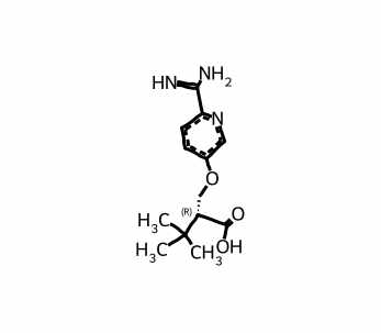 CC(C)(C)[C@H](COc1ccc(C(=N)N)nc1)C(=O)O